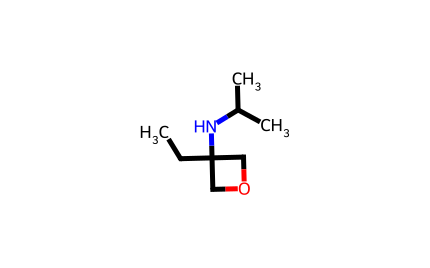 CCC1(NC(C)C)COC1